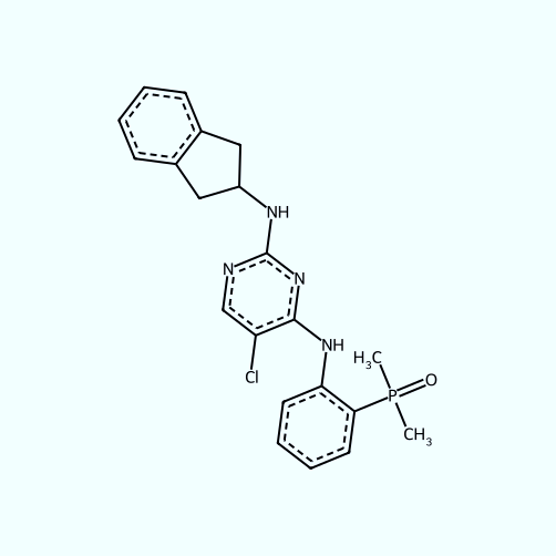 CP(C)(=O)c1ccccc1Nc1nc(NC2Cc3ccccc3C2)ncc1Cl